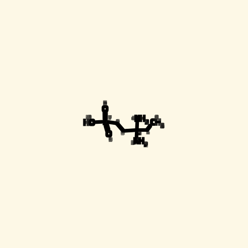 CCC(N)(N)CCS(=O)(=O)O